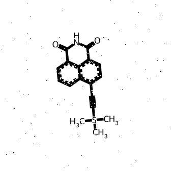 CS(C)(C)C#Cc1ccc2c3c(cccc13)C(=O)NC2=O